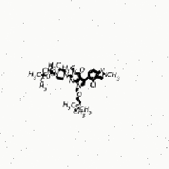 C[C@H]1CN(c2nc3c(c(-c4ccc5nn(C)cc5c4Cl)cn3COCC[Si](C)(C)C)c(=O)n2C)CCN1C(=O)OC(C)(C)C